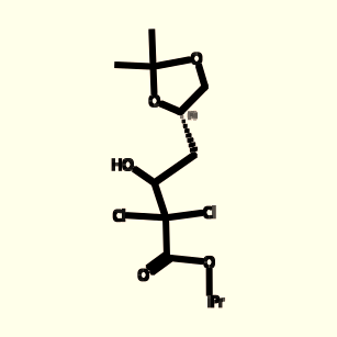 CC(C)OC(=O)C(Cl)(Cl)C(O)C[C@H]1COC(C)(C)O1